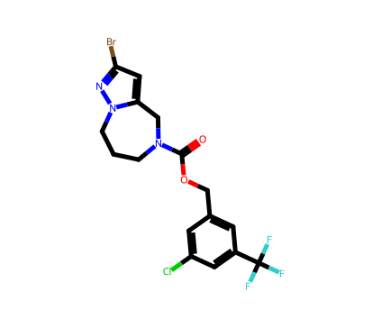 O=C(OCc1cc(Cl)cc(C(F)(F)F)c1)N1CCCn2nc(Br)cc2C1